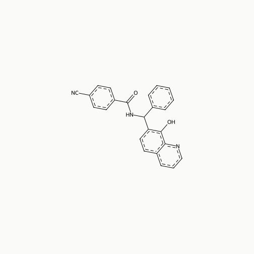 N#Cc1ccc(C(=O)NC(c2ccccc2)c2ccc3cccnc3c2O)cc1